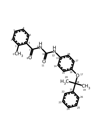 Cc1ccccc1C(=O)NC(=O)Nc1ccc(OC(C)(C)c2ccccc2)cc1